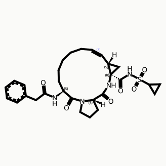 O=C(Cc1ccccc1)N[C@H]1CCCCC/C=C\[C@@H]2C[C@@]2(C(=O)NS(=O)(=O)C2CC2)NC(=O)[C@@H]2CCCN2C1=O